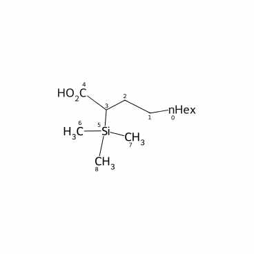 CCCCCCCCC(C(=O)O)[Si](C)(C)C